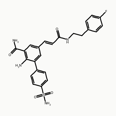 NC(=O)c1cc(C=CC(=O)NCCc2ccc(F)cc2)cc(-c2ccc(S(N)(=O)=O)cc2)c1N